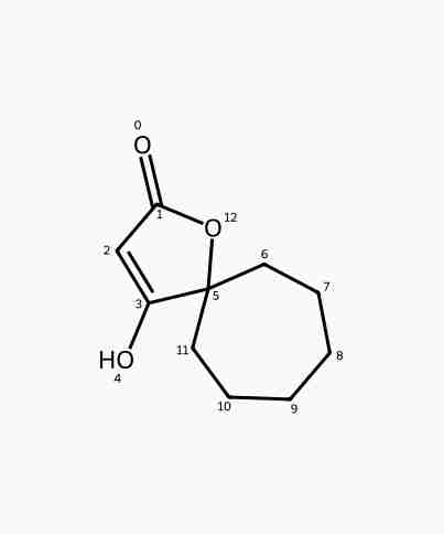 O=C1C=C(O)C2(CCCCCC2)O1